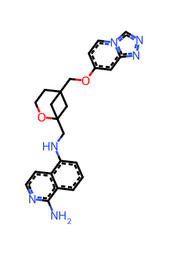 Nc1nccc2c(NCC34CC(COc5ccn6cnnc6c5)(CCO3)C4)cccc12